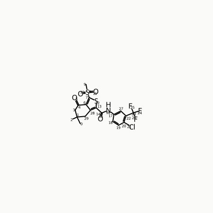 CC1(C)CC(=O)c2c(S(C)(=O)=O)sc(C(=O)Nc3ccc(Cl)c(C(F)(F)F)c3)c2C1